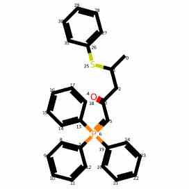 CC(CC(=O)C=P(c1ccccc1)(c1ccccc1)c1ccccc1)Sc1ccccc1